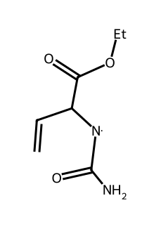 C=CC([N]C(N)=O)C(=O)OCC